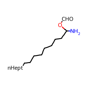 CCCCCCCCCCCCCCCC(N)OC=O